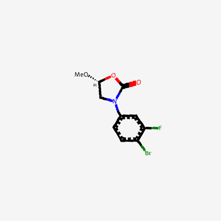 CO[C@H]1CN(c2ccc(Br)c(F)c2)C(=O)O1